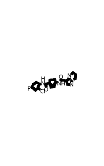 O=C(NC12CCC(C(=O)Nc3ccc(F)cc3Cl)(CC1)C2)c1cnn2cccnc12